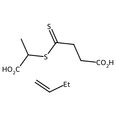 C=CCC.CC(SC(=S)CCC(=O)O)C(=O)O